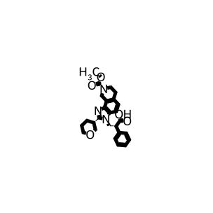 COC(=O)N1CCc2ccc3c(nc([C@H]4CCCOC4)n3C[C@H](C(=O)O)c3ccccc3)c2C1